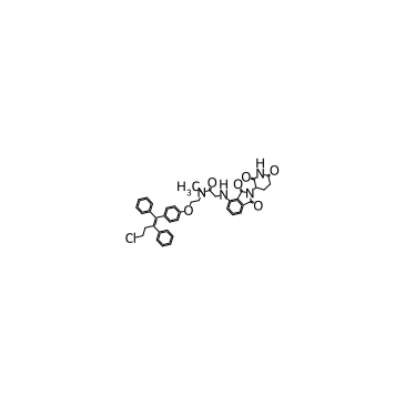 CN(CCOc1ccc(C(=C(CCCl)c2ccccc2)c2ccccc2)cc1)C(=O)CNc1cccc2c1C(=O)N(C1CCC(=O)NC1=O)C2=O